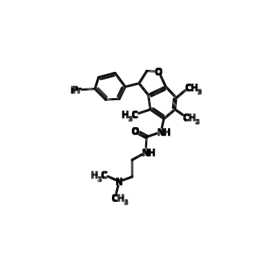 Cc1c(C)c2c(c(C)c1NC(=O)NCCN(C)C)C(c1ccc(C(C)C)cc1)CO2